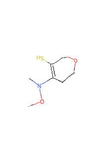 CON(C)C1=C(S)COCC1